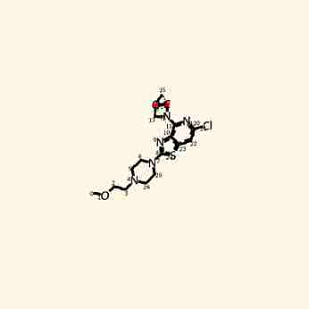 COCCN1CCN(c2nc3c(N4C[C@@]56C[C@@]45CO6)nc(Cl)cc3s2)CC1